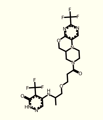 CC(COCCC(=O)N1CCN2c3cnc(C(F)(F)F)nc3OCC2C1)Nc1cn[nH]c(=O)c1C(F)(F)F